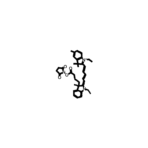 CCN1/C(=C/C=C/C=C/C2=[N+](CC)c3ccc(C)cc3C2(C)C)C(C)(CCCC(=O)ON2C(=O)CCC2=O)c2ccccc21